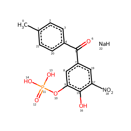 Cc1ccc(C(=O)c2cc(OP(=O)(O)O)c(O)c([N+](=O)[O-])c2)cc1.[NaH]